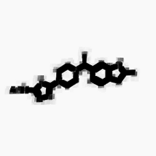 CC(=O)Nc1nnc(N2CCN([C@@H](C)c3ccc4c(c3)OC(C)C4)CC2)s1